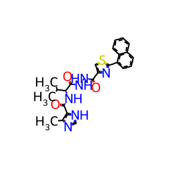 Cc1nc[nH]c1C(=O)N[C@H](C(=O)NNC(=O)c1csc(-c2cccc3ccccc23)n1)C(C)C